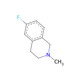 CN1CCc2cc(F)ccc2C1